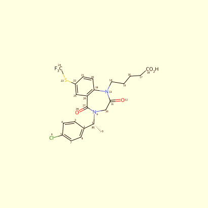 C[C@H](c1ccc(Cl)cc1)N1CC(=O)N(CCCCC(=O)O)c2ccc(SC(F)(F)F)cc2C1=O